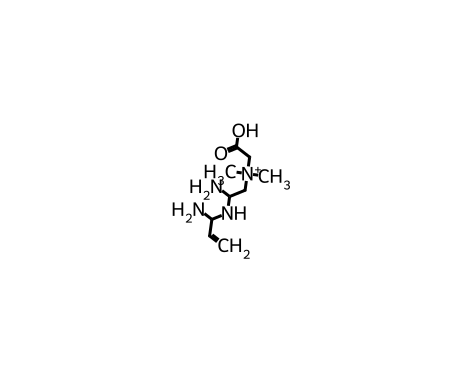 C=CC(N)NC(N)C[N+](C)(C)CC(=O)O